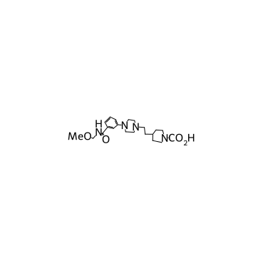 COCNC(=O)c1cccc(N2CCN(CCC3CCN(C(=O)O)CC3)CC2)c1